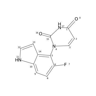 O=c1ccn(-c2c(F)ccc3[nH]ccc23)c(=O)[nH]1